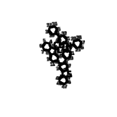 CC1(C)c2ccccc2-c2ccc(-c3cc4c(cc3-c3ccc(N(c5ccccc5)c5ccc(-c6ccccc6)cc5)cc3)sc3ccccc34)cc21